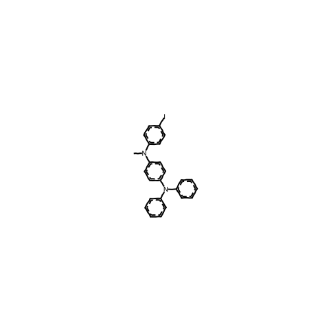 CN(c1ccc(I)cc1)c1ccc(N(c2ccccc2)c2ccccc2)cc1